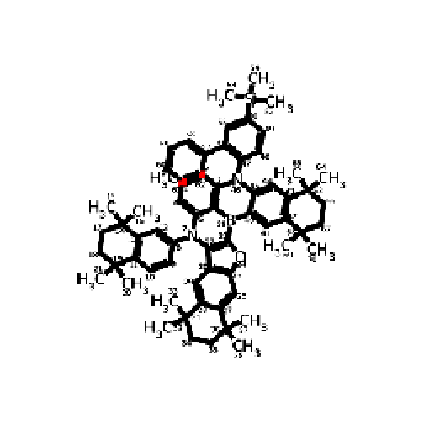 Cc1cc2c3c(c1)N(c1ccc4c(c1)C(C)(C)CCC4(C)C)c1c(oc4cc5c(cc14)C(C)(C)CCC5(C)C)B3c1cc3c(cc1N2c1ccc([Si](C)(C)C)cc1-c1ccccc1)C(C)(C)CCC3(C)C